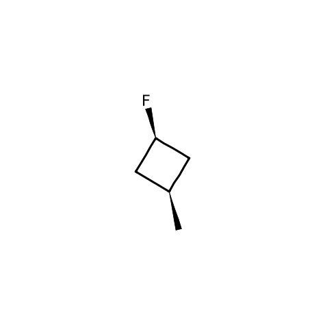 C[C@H]1C[C@@H](F)C1